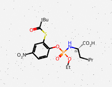 CCOP(=O)(N[C@@H](CC(C)C)C(=O)O)Oc1ccc([N+](=O)[O-])cc1SC(=O)C(C)(C)C